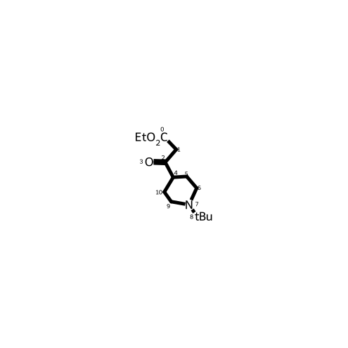 CCOC(=O)CC(=O)C1CCN(C(C)(C)C)CC1